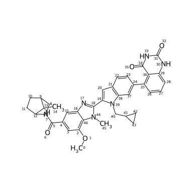 COc1cc(C(=O)N2CC3CCC2[C@@H]3C)cc2nc(-c3cc4ccc(-c5cccc6[nH]c(=O)[nH]c(=O)c56)cc4n3CC3CC3)n(C)c12